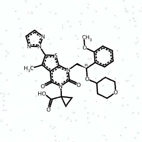 COc1ccccc1[C@H](Cn1c(=O)n(C2(C(=O)O)CC2)c(=O)c2c(C)c(-n3nccn3)sc21)OC1CCOCC1